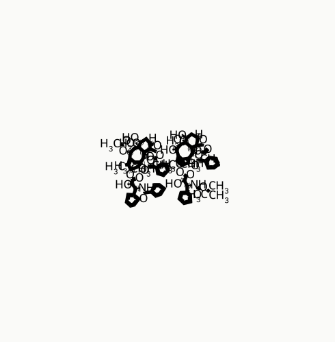 CC(=O)O[C@@]12CO[C@@H]1C[C@H](O)[C@@]1(C)C(=O)[C@H](O)C3=C(C)[C@@H](OC(=O)[C@H](O)[C@@H](NC(=O)OC(C)(C)C)c4ccccc4)C[C@@](O)([C@@H](OC(=O)c4ccccc4)[C@H]21)C3(C)C.CC(=O)O[C@H]1C(=O)[C@@]2(C)[C@H]([C@H](OC(=O)c3ccccc3)[C@]3(O)C[C@H](OC(=O)[C@H](O)[C@@H](NC(=O)c4ccccc4)c4ccccc4)C(C)=C1C3(C)C)[C@]1(OC(C)=O)CO[C@@H]1C[C@@H]2O